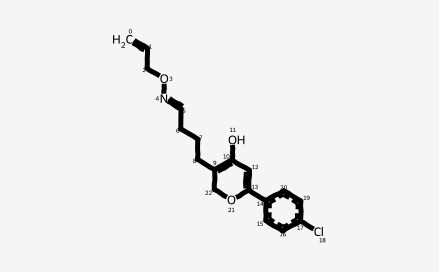 C=CCON=CCCCC1=C(O)C=C(c2ccc(Cl)cc2)OC1